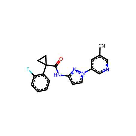 N#Cc1cncc(-n2ccc(NC(=O)C3(c4ccccc4F)CC3)n2)c1